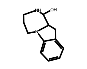 OC1NCCCN2c3ccccc3CC12